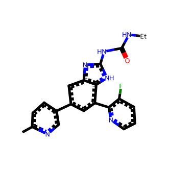 CCNC(=O)Nc1nc2cc(-c3ccc(C)nc3)cc(-c3ncccc3F)c2[nH]1